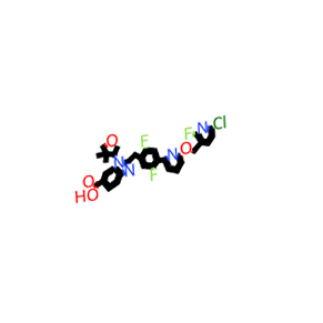 CC1(C)COCC1n1c(Cc2cc(F)c(-c3cccc(OCc4ccc(Cl)nc4F)n3)cc2F)nc2ccc(C(=O)O)cc21